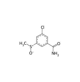 C[S+]([O-])c1cc(Cl)cc(C(N)=O)c1